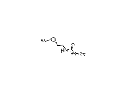 [CH2]CCNC(=O)NCCOCC